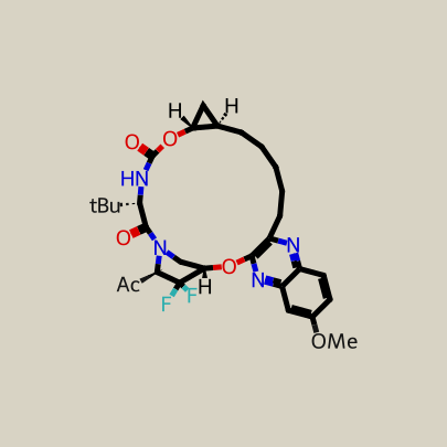 COc1ccc2nc3c(nc2c1)O[C@H]1CN(C(=O)[C@H](C(C)(C)C)NC(=O)O[C@@H]2C[C@H]2CCCCC3)[C@H](C(C)=O)C1(F)F